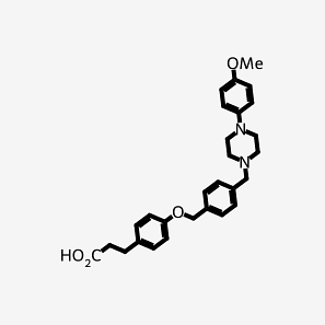 COc1ccc(N2CCN(Cc3ccc(COc4ccc(CCC(=O)O)cc4)cc3)CC2)cc1